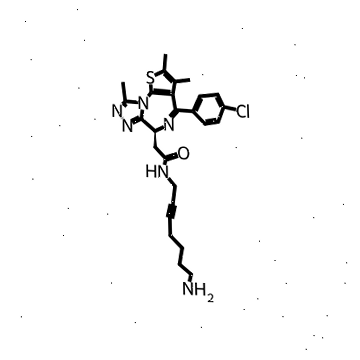 Cc1sc2c(c1C)C(c1ccc(Cl)cc1)=N[C@@H](CC(=O)NCC#CCCCCN)c1nnc(C)n1-2